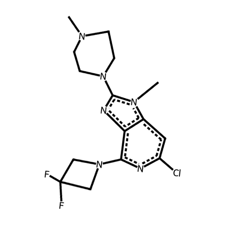 CN1CCN(c2nc3c(N4CC(F)(F)C4)nc(Cl)cc3n2C)CC1